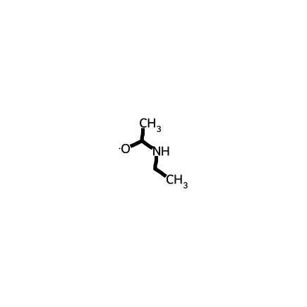 CCNC(C)[O]